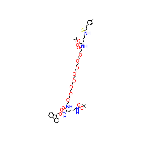 Cc1ccc(CCC(=S)NCCCC[C@H](NC(=O)CCOCCOCCOCCOCCOCCOCCOCCOCCNC(=O)[C@H](CCCCNC(=O)OC(C)(C)C)NC(=O)OCC2c3ccccc3-c3ccccc32)C(=O)OC(C)(C)C)cc1